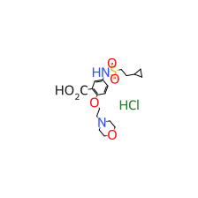 Cl.O=C(O)c1cc(NS(=O)(=O)CCC2CC2)ccc1OCCN1CCOCC1